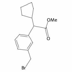 COC(=O)C(c1cccc(CBr)c1)C1CCCC1